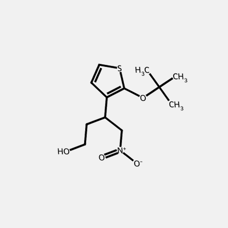 CC(C)(C)Oc1sccc1C(CCO)C[N+](=O)[O-]